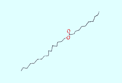 CCCCCCCCCCCCCCCCOC(=O)CCCCCCCCCC